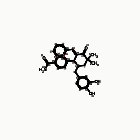 CC1(C)CN(Cc2ccc(O)c(O)c2)C(c2ccc(C(N)=O)cc2)/C(=C\c2ccccn2)C1=O